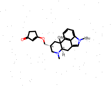 COC12C[C@@H](COC3=CC(=O)CC3)CN(C)[C@@H]1Cc1cn(C(C)(C)C)c3cccc2c13